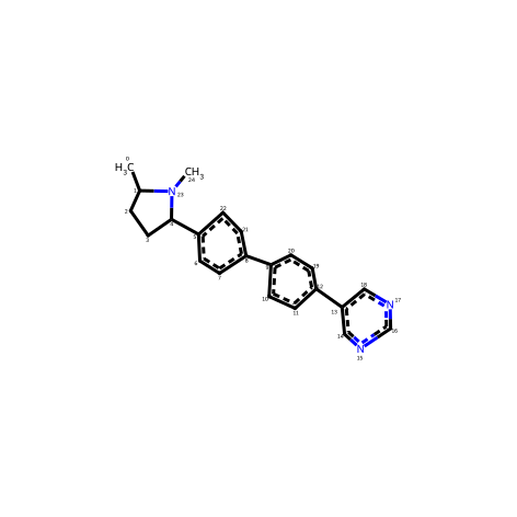 CC1CCC(c2ccc(-c3ccc(-c4cncnc4)cc3)cc2)N1C